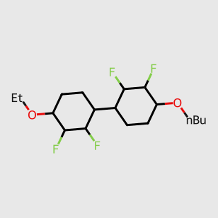 CCCCOC1CCC(C2CCC(OCC)C(F)C2F)C(F)C1F